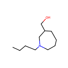 CCCCN1CCCCC(CO)C1